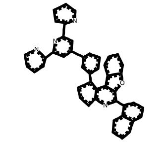 c1ccc(-c2cc(-c3cccc(-c4cccc5nc(-c6cccc7ccccc67)c6oc7ccccc7c6c45)c3)cc(-c3ccccn3)n2)nc1